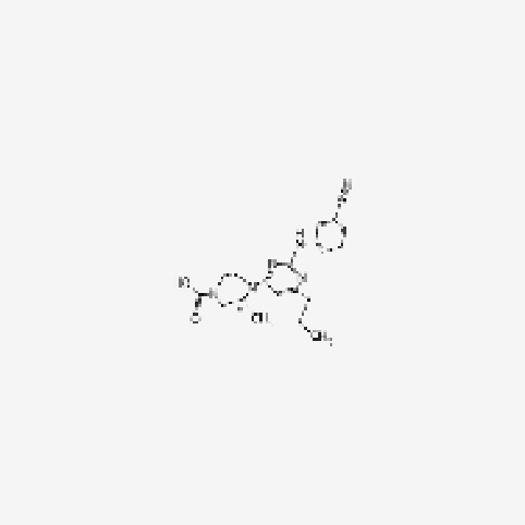 CCCc1cc(N2CCN(C(=O)O)C[C@H]2C)nc(Nc2cccc(C#N)c2)n1